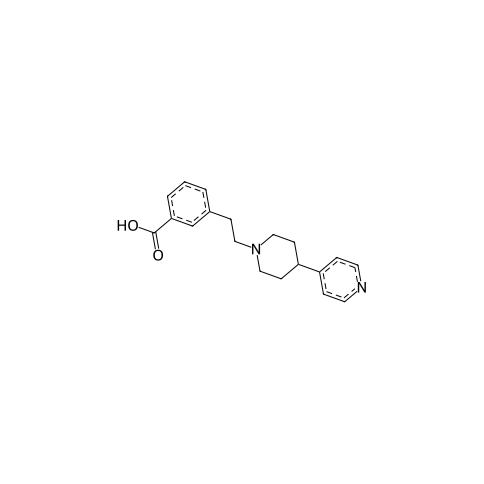 O=C(O)c1cccc(CCN2CCC(c3ccncc3)CC2)c1